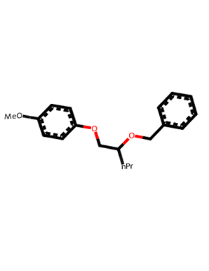 CCCC(COc1ccc(OC)cc1)OCc1ccccc1